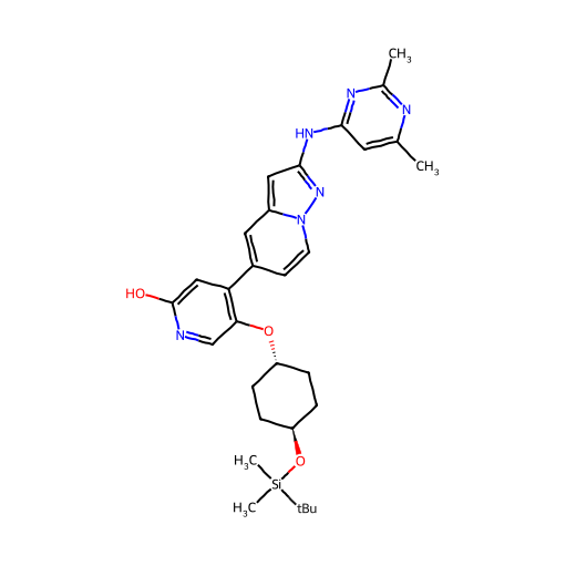 Cc1cc(Nc2cc3cc(-c4cc(O)ncc4O[C@H]4CC[C@H](O[Si](C)(C)C(C)(C)C)CC4)ccn3n2)nc(C)n1